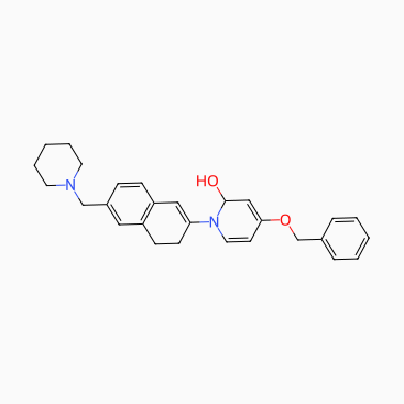 OC1C=C(OCc2ccccc2)C=CN1C1=Cc2ccc(CN3CCCCC3)cc2CC1